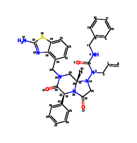 C=CCN(C(=O)NCc1ccccc1)N1CC(=O)N2[C@@H](c3ccccc3)C(=O)N(Cc3cccc4sc(N)nc34)C[C@@H]21